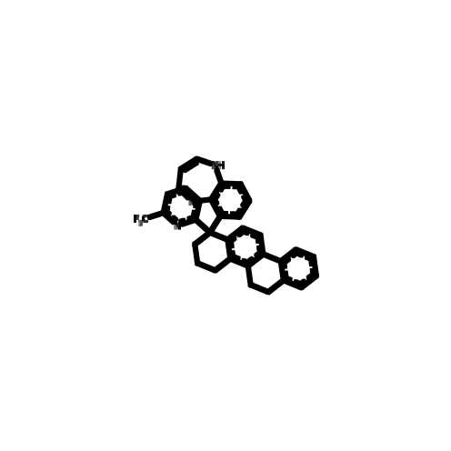 FC(F)(F)c1cccc(C2(c3cccc4c3N=CC=CN4)CCCc3c2ccc2c3CCc3ccccc3-2)n1